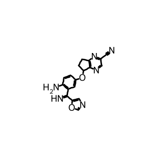 N#Cc1cnc2c(n1)CCC2Oc1ccc(N)c(C(=N)c2cnco2)c1